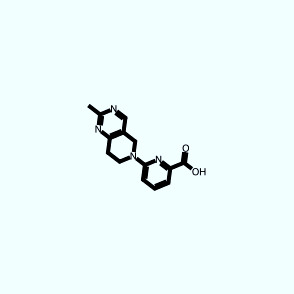 Cc1ncc2c(n1)CCN(c1cccc(C(=O)O)n1)C2